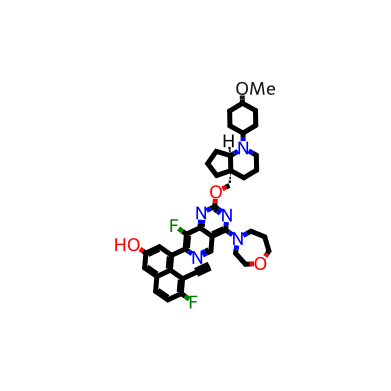 C#Cc1c(F)ccc2cc(O)cc(-c3ncc4c(N5CCCOCC5)nc(OC[C@]56CCC[C@H]5N(C5CCC(OC)CC5)CCC6)nc4c3F)c12